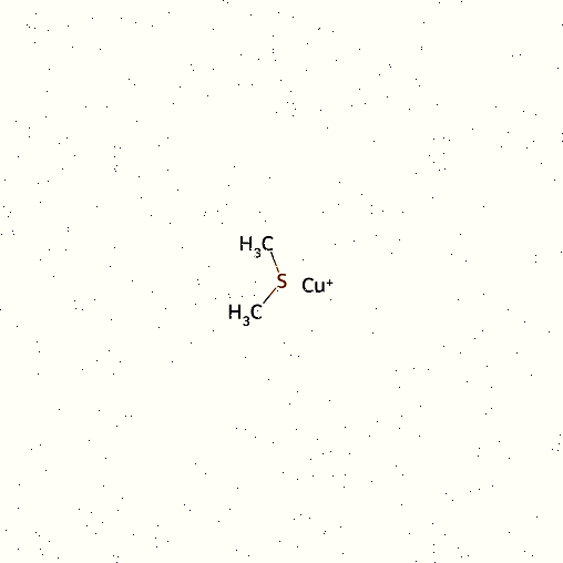 CSC.[Cu+]